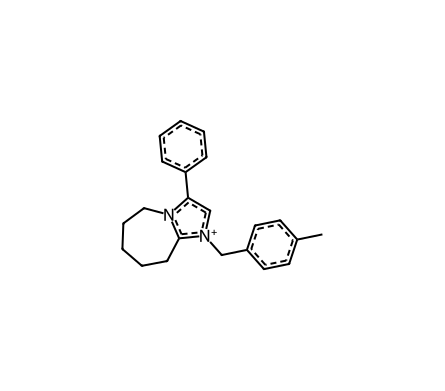 Cc1ccc(C[n+]2cc(-c3ccccc3)n3c2CCCCC3)cc1